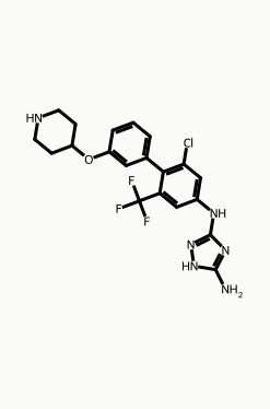 Nc1nc(Nc2cc(Cl)c(-c3cccc(OC4CCNCC4)c3)c(C(F)(F)F)c2)n[nH]1